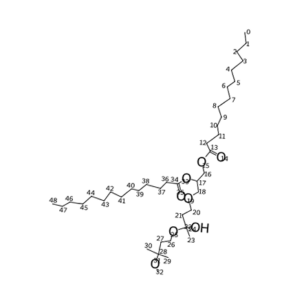 CCCCCCCCCCCCCC(=O)OCC(COCCC(C)(O)OCCC(C)(C)OC)OC(=O)CCCCCCCCCCCCC